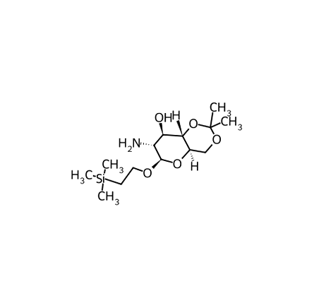 CC1(C)OC[C@H]2O[C@@H](OCC[Si](C)(C)C)[C@H](N)[C@@H](O)[C@@H]2O1